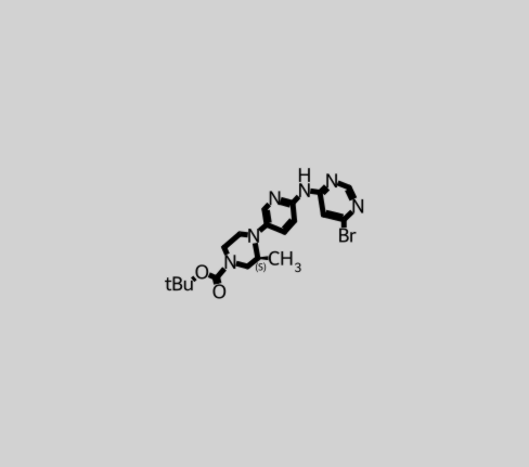 C[C@H]1CN(C(=O)OC(C)(C)C)CCN1c1ccc(Nc2cc(Br)ncn2)nc1